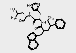 CCC(CC(Cc1cccc2ccccc12)C(=O)N[C@@H](Cc1c[nH]cn1)C(=O)N[C@H](C=O)CC(C)C)c1ccccc1